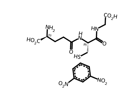 N[C@@H](CCC(=O)N[C@@H](CS)C(=O)NCC(=O)O)C(=O)O.O=[N+]([O-])c1cccc([N+](=O)[O-])c1